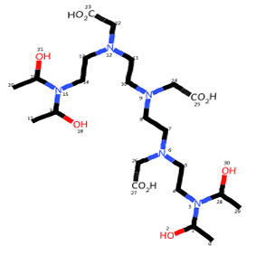 CC(O)N(CCN(CCN(CCN(CCN(C(C)O)C(C)O)CC(=O)O)CC(=O)O)CC(=O)O)C(C)O